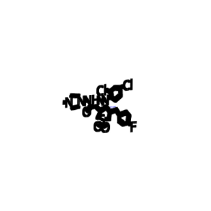 CN1CCN(NC(=O)c2nn(-c3ccc(Cl)cc3Cl)c3c2CS(=O)(=O)C/C3=C\c2ccc(F)cc2)CC1